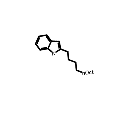 CCCCCCCCCCCCC1=Cc2ccccc2[N]1